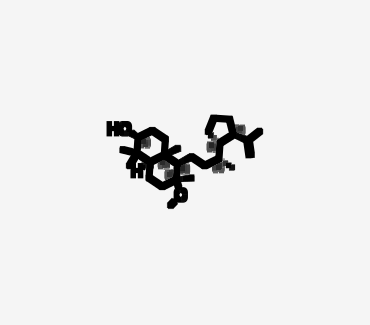 C=C(C)[C@@H]1CCC[C@H]1[C@H](C)CC[C@@H]1[C@@]2(C)CC[C@H](O)C(C)(C)[C@@H]2CC[C@@]1(C)OC